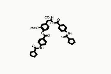 COc1cc(CC(NC(=O)c2ccc(NC(=O)C3CCCC3)cc2)C(=O)O)ccc1OC(=O)c1ccc(NC(=O)C2CCCC2)cc1